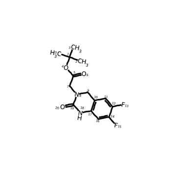 CC(C)(C)OC(=O)CN1Cc2cc(F)c(F)cc2NC1=O